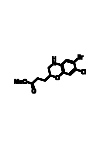 COC(=O)CCC1CNc2cc(Br)c(Cl)cc2O1